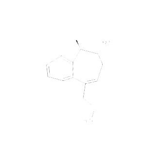 C[C@@H]1c2ccccc2C(CON)=CC[C@H]1N